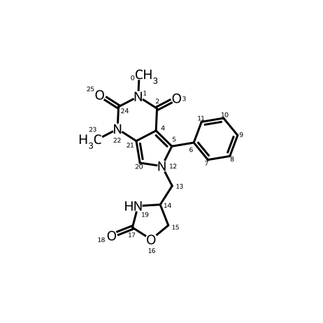 Cn1c(=O)c2c(-c3ccccc3)n(CC3COC(=O)N3)cc2n(C)c1=O